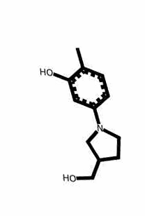 Cc1ccc(N2CCC(CO)C2)cc1O